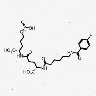 O=C(CC[C@H](NC(=O)CCCCCNC(=O)c1ccc(F)cc1)C(=O)O)N[C@@H](CCCO[PH](=O)O)C(=O)O